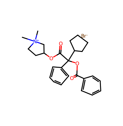 C[N+]1(C)CCC(OC(=O)C(OC(=O)c2ccccc2)(c2ccccc2)C2CCCC2)C1.[Br-]